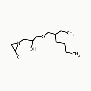 CCCCC(CC)COCC(O)CN1CC1C